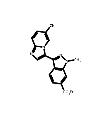 CCOC(=O)c1ccc2c(-c3cnc4ccc(C#N)cn34)nn(C)c2c1